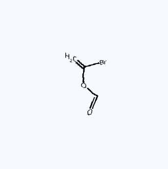 C=C(Br)OC=O